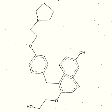 OCCOc1ccc2cc(O)ccc2c1Cc1ccc(OCCN2CCCC2)cc1